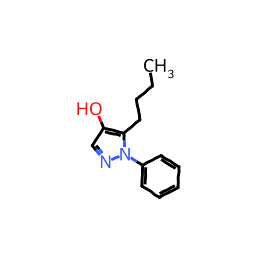 CCCCc1c(O)cnn1-c1ccccc1